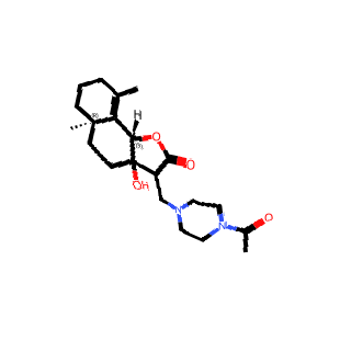 CC(=O)N1CCN(CC2C(=O)O[C@H]3C4=C(C)CCC[C@]4(C)CCC23O)CC1